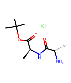 C[C@H](N)C(=O)N[C@@H](C)C(=O)OC(C)(C)C.Cl